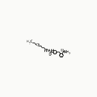 CCCCOCCCCCCNNC(=O)c1ccc(Cc2ccccc2C(N)=O)cc1